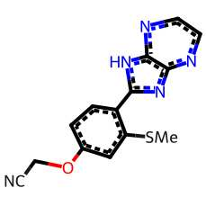 CSc1cc(OCC#N)ccc1-c1nc2nccnc2[nH]1